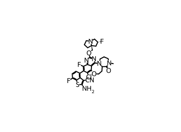 CN1CCCN2c3nc(OC[C@@]45CCCN4C[C@H](F)C5)nc4c(F)c(-c5ccc(F)c6sc(N)c(C#N)c56)c(Cl)c(c34)OCCC2C1=O